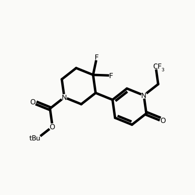 CC(C)(C)OC(=O)N1CCC(F)(F)C(c2ccc(=O)n(CC(F)(F)F)c2)C1